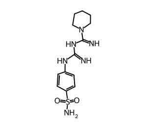 N=C(NC(=N)N1CCCCC1)Nc1ccc(S(N)(=O)=O)cc1